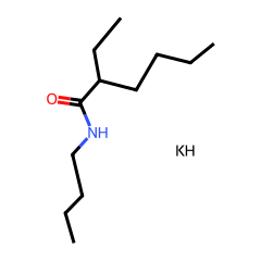 CCCCNC(=O)C(CC)CCCC.[KH]